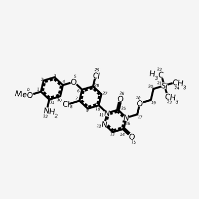 COc1ccc(Oc2c(Cl)cc(-n3ncc(=O)n(COCC[Si](C)(C)C)c3=O)cc2Cl)cc1N